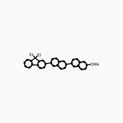 CCC1(CC)c2ccccc2-c2ccc(-c3ccc4cc(-c5ccc6cc(OC)ccc6c5)ccc4c3)cc21